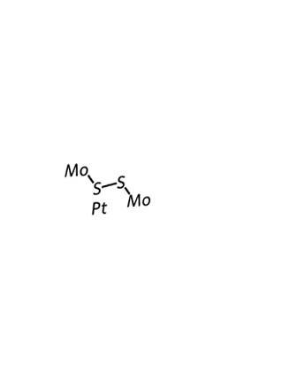 [Mo][S][S][Mo].[Pt]